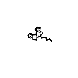 CCCCCC(=O)N1CCn2cccc2C1c1cccs1